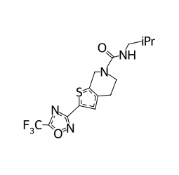 CC(C)CNC(=O)N1CCc2cc(-c3noc(C(F)(F)F)n3)sc2C1